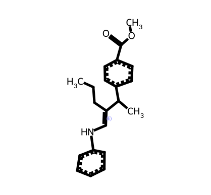 CCC/C(=C\Nc1ccccc1)C(C)c1ccc(C(=O)OC)cc1